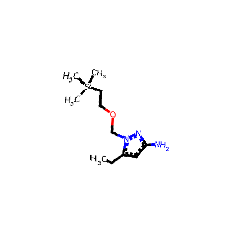 CCc1cc(N)nn1COCC[Si](C)(C)C